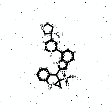 NS(=O)(=O)C1(C(c2cc3cccc(-c4cc([C@]5(O)CCOC5)ccn4)c3s2)c2ccccc2Cl)CC1